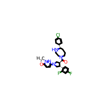 Cn1nc(N2C[C@@H](C(=O)N3CCC[C@@H](C4C=CC(Cl)=CC4)NCC3)[C@H](c3ccc(F)cc3F)C2)ccc1=O